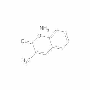 Cc1cc2ccccc2oc1=O.N